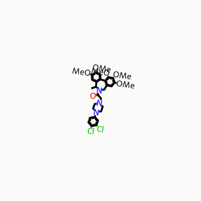 COc1cc2c(cc1OC)C(C)N(C(=O)CN1CCN(c3ccc(Cl)c(Cl)c3)CC1)Cc1cc(OC)c(OC)c(OC)c1-2